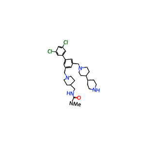 CNC(=O)NCC1CCN(Cc2cc(CN3CCC(C4CCNCC4)CC3)cc(-c3cc(Cl)cc(Cl)c3)c2)CC1